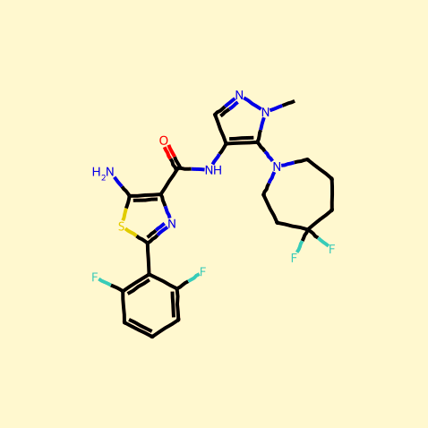 Cn1ncc(NC(=O)c2nc(-c3c(F)cccc3F)sc2N)c1N1CCCC(F)(F)CC1